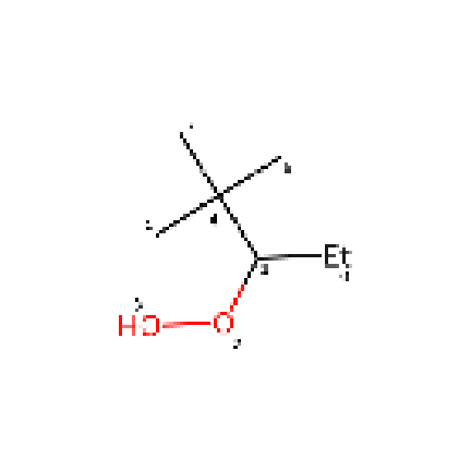 CCC(OO)C(C)(C)C